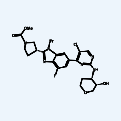 COC(=O)N1CC[C@@H](c2nc3c(F)cc(-c4nc(N[C@@H]5CCOC[C@H]5O)ncc4Cl)cc3n2C(C)C)C1